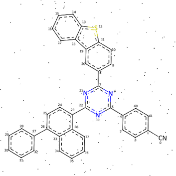 N#Cc1ccc(-c2nc(-c3ccc4sc5ccccc5c4c3)nc(-c3ccc(-c4ccccc4)c4ccccc34)n2)cc1